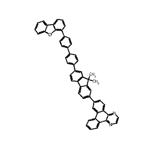 CC1(C)c2cc(-c3ccc(-c4ccc(-c5cccc6c5oc5ccccc56)cc4)cc3)ccc2-c2ccc(-c3ccc4c(c3)c3ccccc3c3nccnc43)cc21